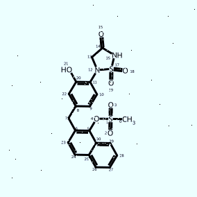 CS(=O)(=O)Oc1c(Cc2ccc(N3CC(=O)NS3(=O)=O)c(O)c2)ccc2ccccc12